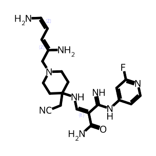 N#CCC1(N/C=C(\C(=N)Nc2ccnc(F)c2)C(N)=O)CCN(C/C(N)=C/C=C\N)CC1